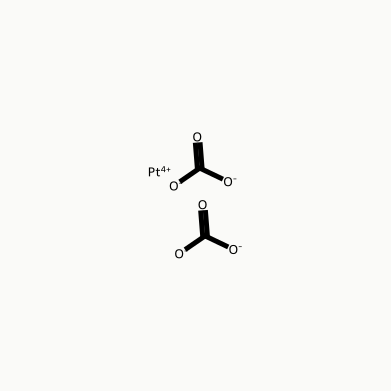 O=C([O-])[O-].O=C([O-])[O-].[Pt+4]